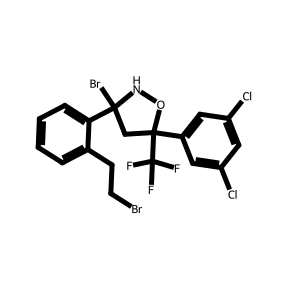 FC(F)(F)C1(c2cc(Cl)cc(Cl)c2)CC(Br)(c2ccccc2CCBr)NO1